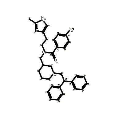 Cc1nc(CCN(CC2CCCN(CC(c3ccccc3)c3ccccc3)C2)C(=O)c2ccc(C#N)cc2)c[nH]1